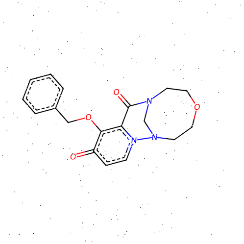 O=C1c2c(OCc3ccccc3)c(=O)ccn2N2CCOCCN1C2